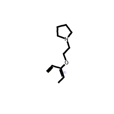 C=C/C(=C\C)OCCN1CCCC1